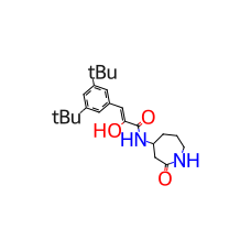 CC(C)(C)c1cc(C=C(O)C(=O)NC2CCCNC(=O)C2)cc(C(C)(C)C)c1